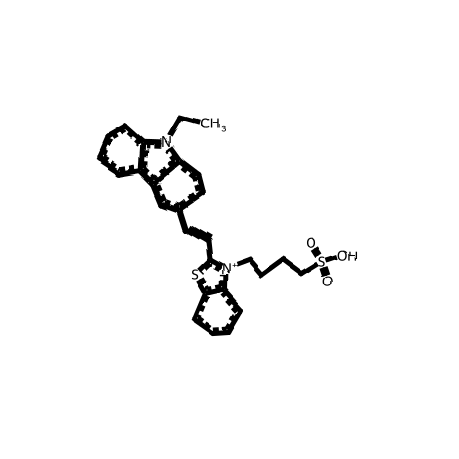 CCn1c2ccccc2c2cc(/C=C/c3sc4ccccc4[n+]3CCCCS(=O)(=O)O)ccc21